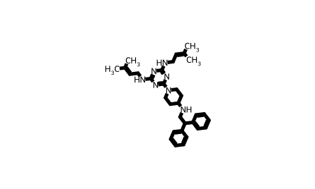 CC(C)=CCNc1nc(NCC=C(C)C)nc(N2CCC(NCC(c3ccccc3)c3ccccc3)CC2)n1